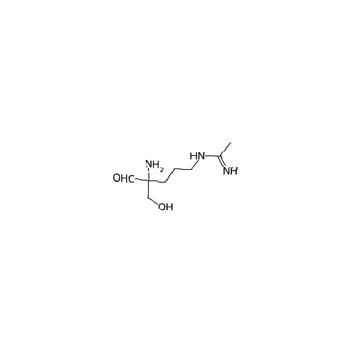 CC(=N)NCCCC(N)(C=O)CO